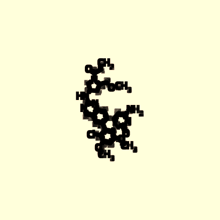 C=CC(=O)N1CC(Nc2ncc3cc(-c4c(Cl)c(OC)cc(OC)c4-n4ccc(N)nc4=O)ccc3n2)CC1COC